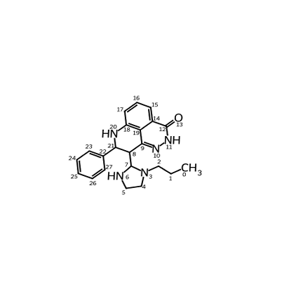 CCCN1CCNC1C1c2n[nH]c(=O)c3cccc(c23)NC1c1ccccc1